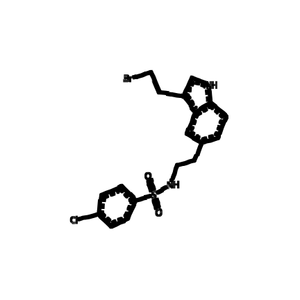 O=S(=O)(NCCc1ccc2[nH]cc(CCBr)c2c1)c1ccc(Cl)cc1